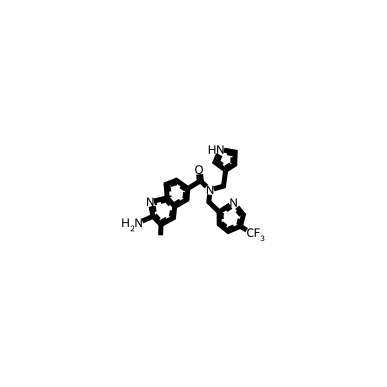 Cc1cc2cc(C(=O)N(Cc3cc[nH]c3)Cc3ccc(C(F)(F)F)cn3)ccc2nc1N